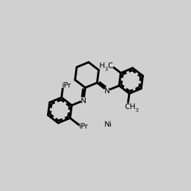 Cc1cccc(C)c1N=C1CCCCC1=Nc1c(C(C)C)cccc1C(C)C.[Ni]